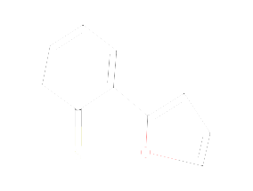 S=C1CC=CC=C1c1ccco1